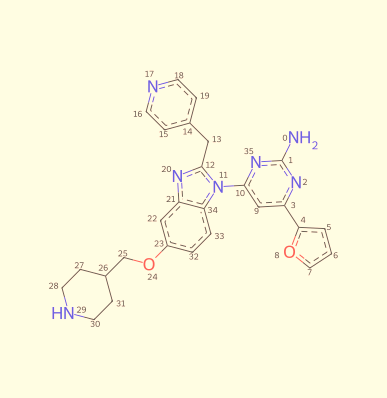 Nc1nc(-c2ccco2)cc(-n2c(Cc3ccncc3)nc3cc(OCC4CCNCC4)ccc32)n1